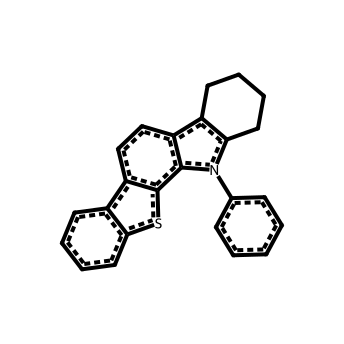 c1ccc(-n2c3c(c4ccc5c6ccccc6sc5c42)CCCC3)cc1